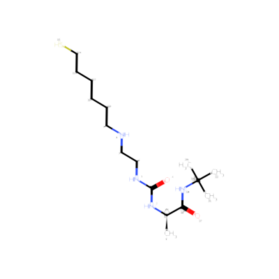 C[C@@H](NC(=O)NCCNCCCCCCS)C(=O)NC(C)(C)C